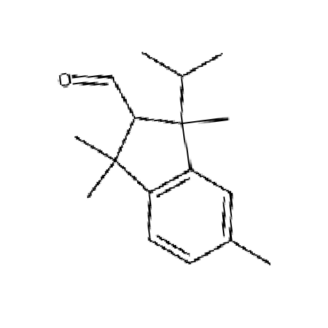 Cc1ccc2c(c1)C(C)(C(C)C)C(C=O)C2(C)C